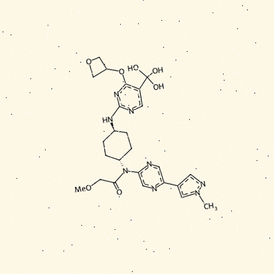 COCC(=O)N(c1cnc(-c2cnn(C)c2)cn1)[C@H]1CC[C@H](Nc2ncc(C(O)(O)O)c(OC3COC3)n2)CC1